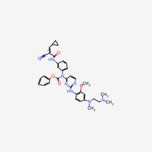 COc1cc(N(C)CCN(C)C)ccc1Nc1nccc(N(C(=O)Oc2ccccc2)c2cccc(NC(=O)/C(C#N)=C\C3CC3)c2)n1